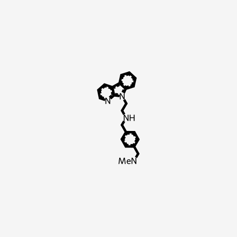 CNCc1ccc(CNCCn2c3ccccc3c3cccnc32)cc1